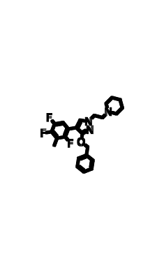 Cc1c(F)c(F)cc(-c2cn(CCN3CCCCC3)nc2OCc2ccccc2)c1F